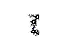 NSc1ccccc1-c1ccc2[nH]c(/C=C/c3cccc(C(F)(F)F)c3F)nc2c1